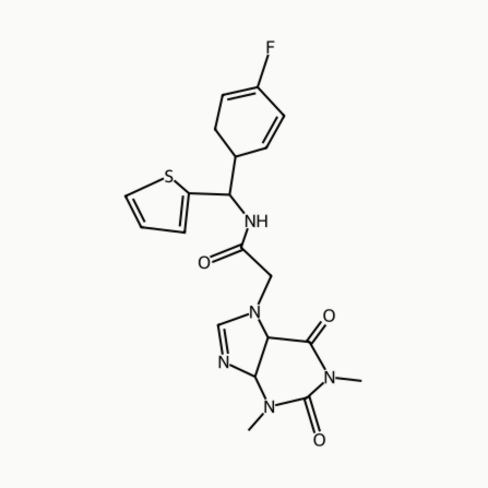 CN1C(=O)C2C(N=CN2CC(=O)NC(c2cccs2)C2C=CC(F)=CC2)N(C)C1=O